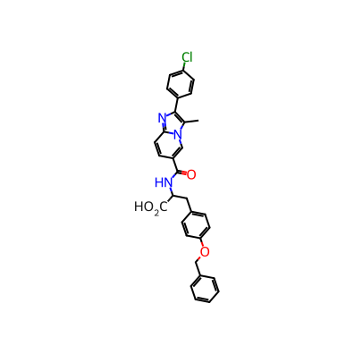 Cc1c(-c2ccc(Cl)cc2)nc2ccc(C(=O)NC(Cc3ccc(OCc4ccccc4)cc3)C(=O)O)cn12